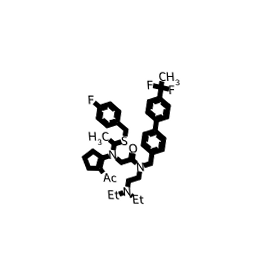 CCN(CC)CCN(Cc1ccc(-c2ccc(C(C)(F)F)cc2)cc1)C(=O)CN(C1=C(C(C)=O)CCC1)C(C)SCc1ccc(F)cc1